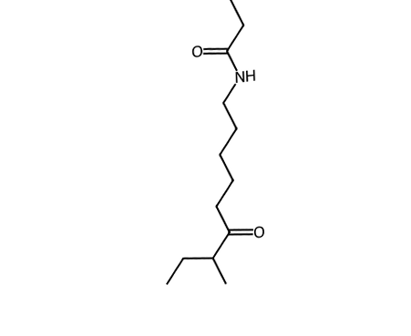 CCC(=O)NCCCCCC(=O)C(C)CC